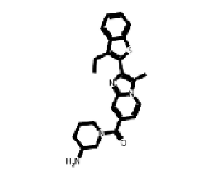 CCc1c(-c2nc3cc(C(=O)N4CCCC(N)C4)ccn3c2C)sc2ccccc12